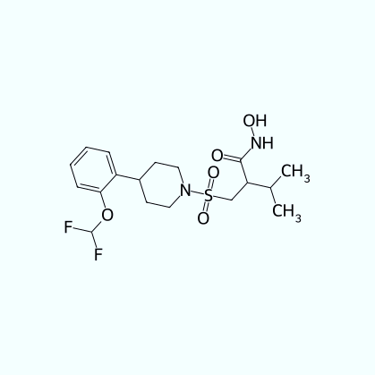 CC(C)C(CS(=O)(=O)N1CCC(c2ccccc2OC(F)F)CC1)C(=O)NO